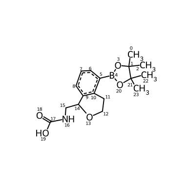 CC1(C)OB(c2cccc3c2CCOC3CNC(=O)O)OC1(C)C